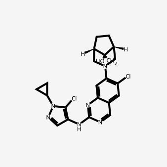 C[C@]1(O)[C@@H]2CC[C@H]1CN(c1cc3nc(Nc4cnn(C5CC5)c4Cl)ncc3cc1Cl)C2